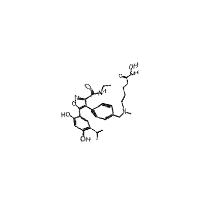 CCNC(=O)c1noc(-c2cc(C(C)C)c(O)cc2O)c1-c1ccc(CN(C)CCCCC(=O)NO)cc1